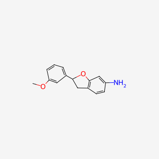 COc1cccc(C2Cc3ccc(N)cc3O2)c1